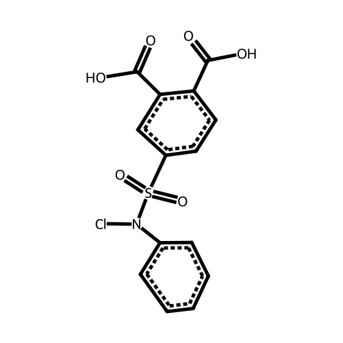 O=C(O)c1ccc(S(=O)(=O)N(Cl)c2ccccc2)cc1C(=O)O